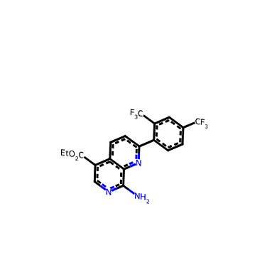 CCOC(=O)c1cnc(N)c2nc(-c3ccc(C(F)(F)F)cc3C(F)(F)F)ccc12